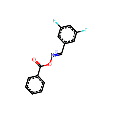 O=C(O/N=C/c1cc(F)cc(F)c1)c1ccccc1